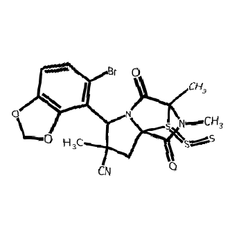 CN1C(=O)C23CC(C)(C#N)C(c4c(Br)ccc5c4OCO5)N2C(=O)C1(C)S3=S=S